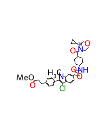 COC(=O)CCc1ccc(-c2c(Cl)c3ccc(S(=O)(=O)N[C@H]4CC[C@H](C(=O)N5CCOC[C@@H]5C5CC5)CC4)cc3n2C)cc1